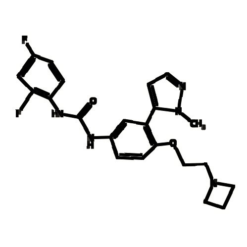 Cn1nccc1-c1cc(NC(=O)Nc2ccc(F)cc2F)ccc1OCCN1CCC1